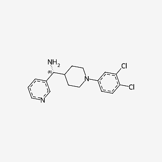 N[C@@H](c1cccnc1)C1CCN(c2ccc(Cl)c(Cl)c2)CC1